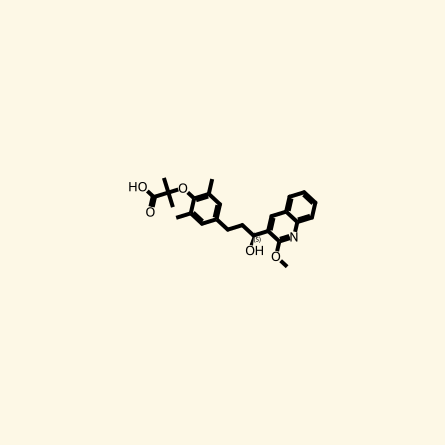 COc1nc2ccccc2cc1[C@@H](O)CCc1cc(C)c(OC(C)(C)C(=O)O)c(C)c1